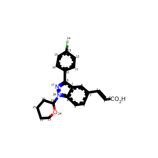 O=C(O)/C=C/c1ccc2c(c1)c(-c1ccc(F)cc1)nn2C1CCCCO1